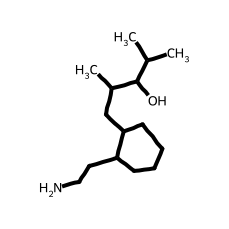 CC(C)C(O)C(C)CC1CCCCC1CCN